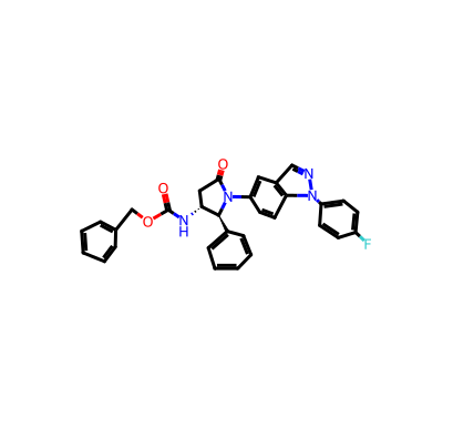 O=C(N[C@@H]1CC(=O)N(c2ccc3c(cnn3-c3ccc(F)cc3)c2)[C@H]1c1ccccc1)OCc1ccccc1